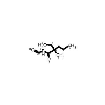 CCCC(C)(CC)C(=O)PC=O